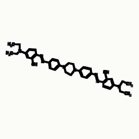 CCN(CC)c1ccc(/N=N/c2ccc(N3CCN(c4ccc(/N=N/c5ccc(N(CC)CC)cc5O)cc4)CC3)cc2)c(O)c1